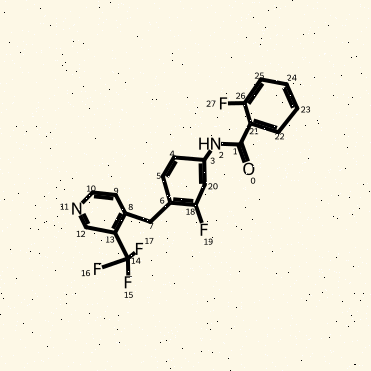 O=C(Nc1ccc(Cc2ccncc2C(F)(F)F)c(F)c1)c1ccccc1F